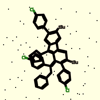 CC(C)(C)c1cc2c(cc1-c1ccc(Cl)cc1)C(C1=CC=CC1)=c1c-2cc(C(C)(C)C)c(-c2ccc(Cl)cc2)c1=C(Cc1ccccc1)c1ccc(Cl)cc1